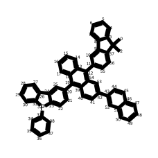 CC1(C)c2ccccc2-c2cc(-c3c4ccccc4c(-c4ccc5c(c4)c4ccccc4p5-c4ccccc4)c4ccc(-c5ccc6ccccc6c5)cc34)ccc21